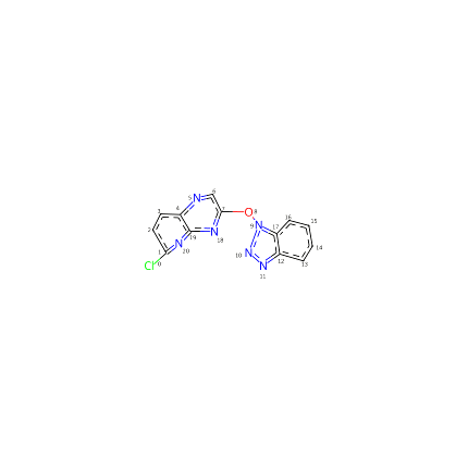 Clc1ccc2ncc(On3nnc4ccccc43)nc2n1